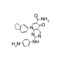 NC(=O)c1cn(-c2ccc3c(c2)CCC3)c2nc(Nc3ccc(N)cc3)ncc2c1=O